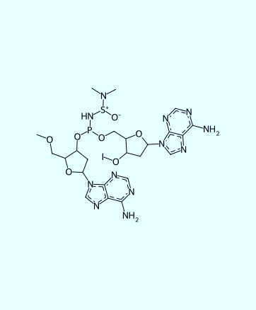 COCC1OC(n2cnc3c(N)ncnc32)CC1OP(N[S+]([O-])N(C)C)OCC1OC(n2cnc3c(N)ncnc32)CC1OI